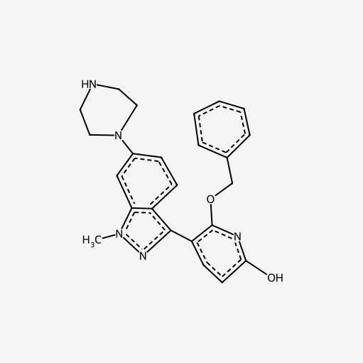 Cn1nc(-c2ccc(O)nc2OCc2ccccc2)c2ccc(N3CCNCC3)cc21